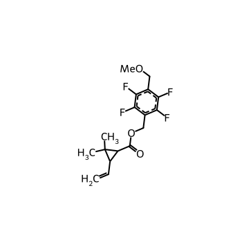 C=CC1C(C(=O)OCc2c(F)c(F)c(COC)c(F)c2F)C1(C)C